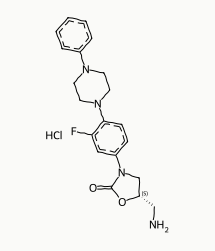 Cl.NC[C@H]1CN(c2ccc(N3CCN(c4ccccc4)CC3)c(F)c2)C(=O)O1